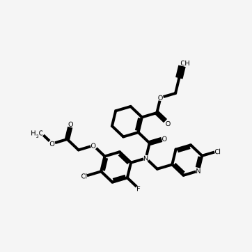 C#CCOC(=O)C1=C(C(=O)N(Cc2ccc(Cl)nc2)c2cc(OCC(=O)OC)c(Cl)cc2F)CCCC1